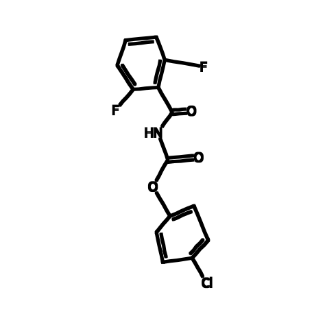 O=C(NC(=O)c1c(F)cccc1F)Oc1ccc(Cl)cc1